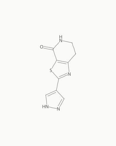 O=C1NCCc2nc(-c3cn[nH]c3)sc21